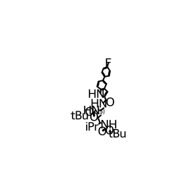 CC(C)C(CC[C@@H](CNC(=O)c1cc2cc(-c3ccc(F)cc3)ccc2[nH]1)NC(=O)OC(C)(C)C)NC(=O)OC(C)(C)C